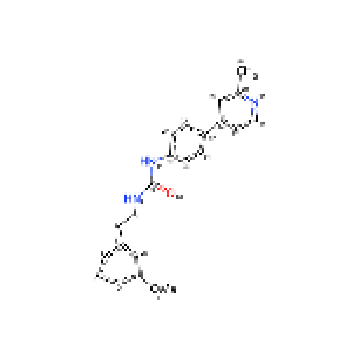 COc1cccc(CCNC(=O)Nc2ccc(-c3ccnc(C)c3)cc2)c1